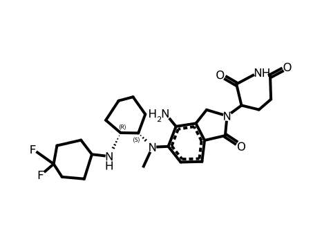 CN(c1ccc2c(c1N)CN(C1CCC(=O)NC1=O)C2=O)[C@H]1CCCC[C@H]1NC1CCC(F)(F)CC1